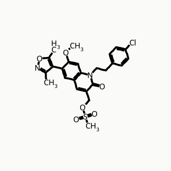 COc1cc2c(cc1-c1c(C)noc1C)cc(COS(C)(=O)=O)c(=O)n2CCc1ccc(Cl)cc1